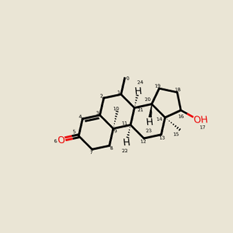 CC1CC2=CC(=O)CC[C@]2(C)[C@@H]2CC[C@]3(C)C(O)CC[C@H]3[C@H]12